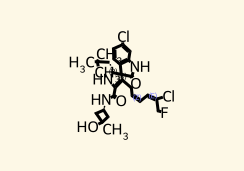 CC(C)(C)C[C@H]1NC(C(=O)N[C@H]2C[C@@](C)(O)C2)=C(C/C=C\C=C(\Cl)CF)[C@@]12C(=O)Nc1cc(Cl)ccc12